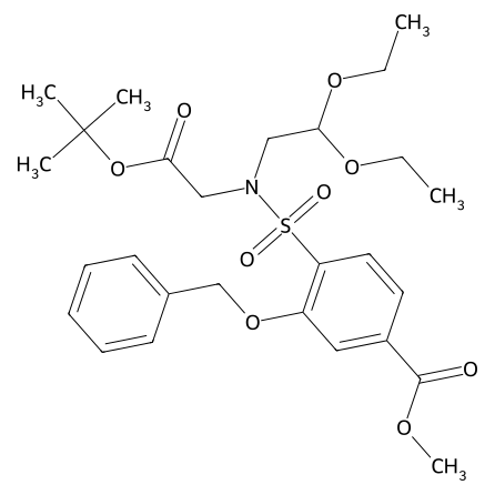 CCOC(CN(CC(=O)OC(C)(C)C)S(=O)(=O)c1ccc(C(=O)OC)cc1OCc1ccccc1)OCC